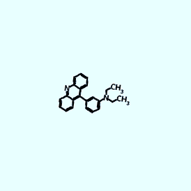 CCN(CC)c1cccc(-c2c3ccccc3nc3ccccc23)c1